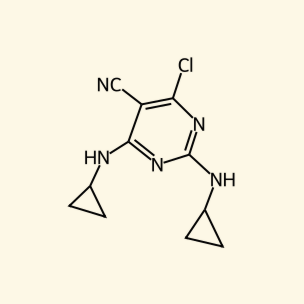 N#Cc1c(Cl)nc(NC2CC2)nc1NC1CC1